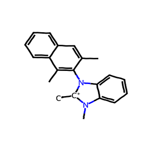 [CH2-][c+]1n(C)c2ccccc2n1-c1c(C)cc2ccccc2c1C